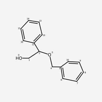 OCC(OCc1ccccc1)c1ccccc1